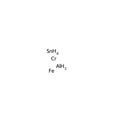 [AlH3].[Cr].[Fe].[SnH4]